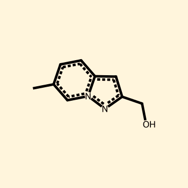 Cc1ccc2cc(CO)nn2c1